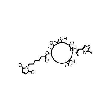 C/C(=C\c1csc(C)n1)[C@@H]1C[C@@H]2O[C@]2(C)CCC[C@H](C)[C@H](OC(=O)CCCCCN2C(=O)C=CC2=O)[C@@H](C)C(=O)C(C)(C)[C@@H](O)CC(=O)N1